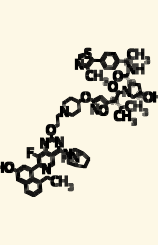 CCc1cccc2cc(O)cc(-c3ncc4c(N5CC6CCC(C5)N6)nc(OCCN5CCC(Oc6cc([C@H](C(=O)N7C[C@H](O)C[C@H]7C(=O)N[C@@H](C)c7ccc(-c8scnc8C)cc7)C(C)C)on6)CC5)nc4c3F)c12